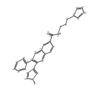 Cn1cc(-c2nc3ccc(C(=O)NCCCn4ccnc4)cc3nc2-c2ccccc2)cn1